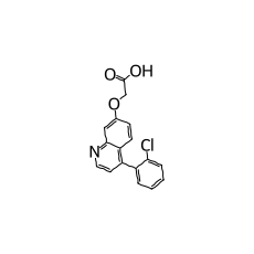 O=C(O)COc1ccc2c(-c3ccccc3Cl)ccnc2c1